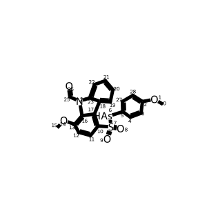 COc1ccc([AsH]S(=O)(=O)c2ccc(OC)c3c2c2ccccc2n3C=O)cc1